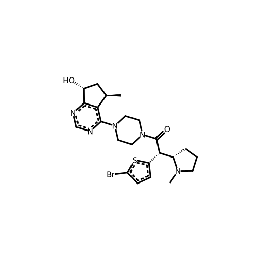 C[C@@H]1C[C@@H](O)c2ncnc(N3CCN(C(=O)[C@@H](c4ccc(Br)s4)[C@@H]4CCCN4C)CC3)c21